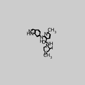 Cc1ccc(C(=O)NN2CCN(C)CC2I)c(Nc2ccc3cn[nH]c3c2)n1